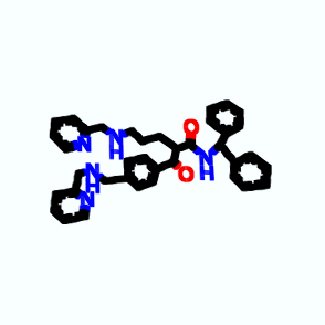 O=C(NC(c1ccccc1)c1ccccc1)C(CCCNCc1ccccn1)C(=O)c1ccc(CNCc2ccccn2)cc1